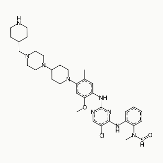 COc1cc(N2CCC(N3CCN(CC4CCNCC4)CC3)CC2)c(C)cc1Nc1ncc(Cl)c(Nc2ccccc2N(C)[SH]=O)n1